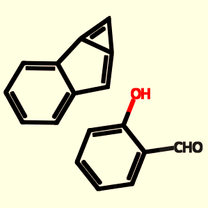 O=Cc1ccccc1O.c1ccc2c3cc-3cc2c1